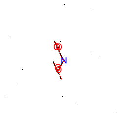 CCCCCCCCC(CCCCCCCC)OC(=O)CCCCCCCN(C)CCCCCCCCCCCC(=O)OCCCCC